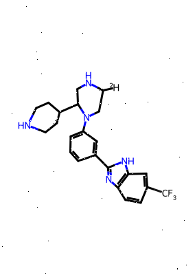 [2H]C1CN(c2cccc(-c3nc4ccc(C(F)(F)F)cc4[nH]3)c2)C(C2CCNCC2)CN1